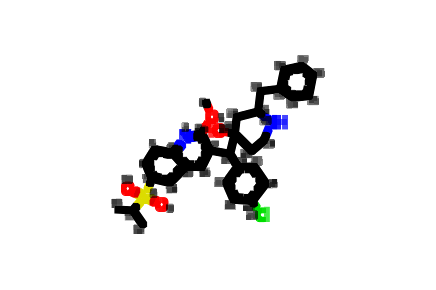 COc1nc2ccc(S(=O)(=O)C(C)C)cc2cc1C(c1ccc(Cl)cc1)C1(O)CCNC(Cc2ccccc2)C1